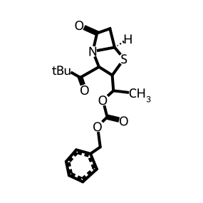 CC(OC(=O)OCc1ccccc1)C1S[C@@H]2CC(=O)N2C1C(=O)C(C)(C)C